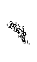 CN1CC[C@@H](Nc2cccc3c(CC(F)(F)F)c(C#CCN(C(=O)OC(C)(C)C)c4ccc(P(C)(C)=O)c5c4OCO5)sc23)[C@@H](F)C1